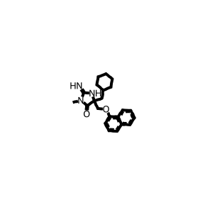 CN1C(=N)NC(COc2cccc3ccccc23)(CC2CCCCC2)C1=O